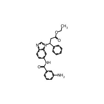 CCOC(=O)CC(c1ccccc1)n1cnc2ccc(NC(=O)c3cccc(N)c3)cc21